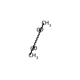 CCCCCOC(=O)CCCCCCCCCCCCC(=O)OCCCCC